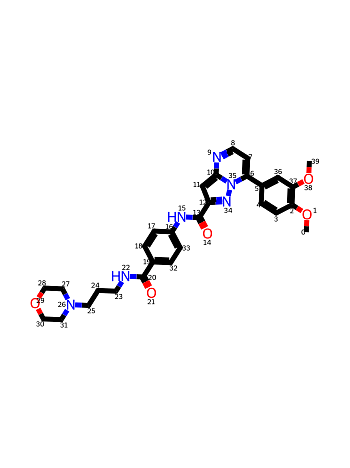 COc1ccc(-c2ccnc3cc(C(=O)Nc4ccc(C(=O)NCCCN5CCOCC5)cc4)nn23)cc1OC